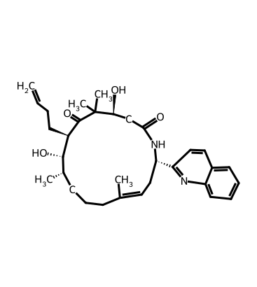 C=CCC[C@H]1C(=O)C(C)(C)[C@@H](O)CC(=O)N[C@H](c2ccc3ccccc3n2)C/C=C(\C)CCC[C@H](C)[C@@H]1O